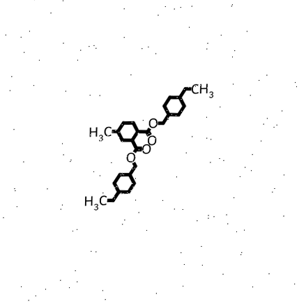 CCC1CCC(COC(=O)C2CCC(C)CC2C(=O)OCC2CCC(CC)CC2)CC1